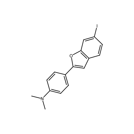 CN(C)c1ccc(-c2cc3ccc(I)cc3o2)cc1